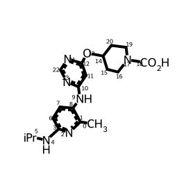 Cc1nc(NC(C)C)ccc1Nc1cc(OC2CCN(C(=O)O)CC2)ncn1